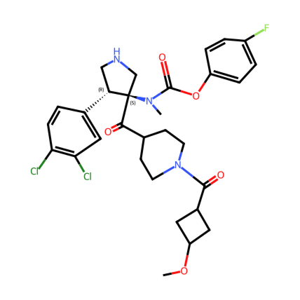 COC1CC(C(=O)N2CCC(C(=O)[C@@]3(N(C)C(=O)Oc4ccc(F)cc4)CNC[C@H]3c3ccc(Cl)c(Cl)c3)CC2)C1